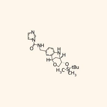 CC(C)(C)[Si](C)(C)O[C@@H]1CO[C@H]2C[C@@H]1Nc1ccc(CNC(=O)n3ccnc3)cc12